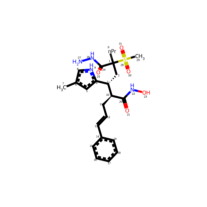 CCCC(C[C@@H](c1cc(C)c[nH]1)[C@H](C/C=C/c1ccccc1)C(=O)NO)(C(=O)NN)S(C)(=O)=O